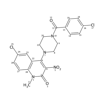 Cn1c(=O)c([N+](=O)[O-])c(N2CCN(C(=O)c3ccc(Cl)cc3)CC2)c2cc(Cl)ccc21